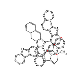 CC1C/C=C(c2ccc3ccccc3c2)/N=C(c2ccc3oc4ccccc4c3c2)\N=C/1c1ccc2sc3c4ccccc4ccc3c2c1-n1c2c(c3cc4ccccc4cc31)CC1C=CC=CC1=C2